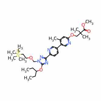 CCC(CC)Oc1nc(-c2ccc(-c3cnc(OCC(C)(C)C(=O)OC)cc3C)cn2)nn1COCC[SH](C)(C)(C)C